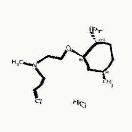 CC(C)[C@@H]1CC[C@@H](C)C[C@H]1OCCN(C)CCCl.Cl